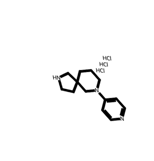 Cl.Cl.Cl.c1cc(N2CCCC3(CCNC3)C2)ccn1